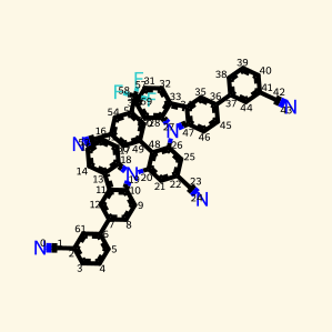 N#Cc1cccc(-c2ccc3c(c2)c2ccccc2n3-c2cc(C#N)cc(-n3c4ccccc4c4cc(-c5cccc(C#N)c5)ccc43)c2-c2cc(C#N)cc(C(F)(F)F)c2)c1